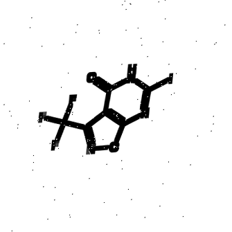 O=c1[nH]c(I)nc2onc(C(F)(F)F)c12